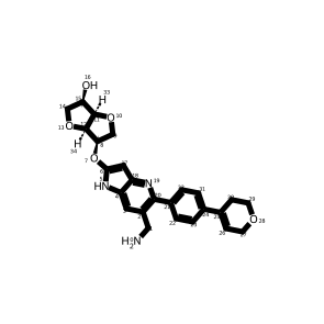 NCc1cc2[nH]c(O[C@@H]3CO[C@H]4[C@@H]3OC[C@H]4O)cc2nc1-c1ccc(C2=CCOCC2)cc1